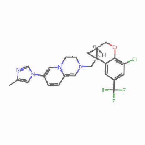 Cc1cn(C2=CN3CCN(C[C@@]45C[C@@H]4COc4c(Cl)cc(C(F)(F)F)cc45)C=C3C=C2)cn1